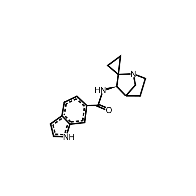 O=C(N[C@@H]1C2CCN(C2)C12CC2)c1ccc2cc[nH]c2c1